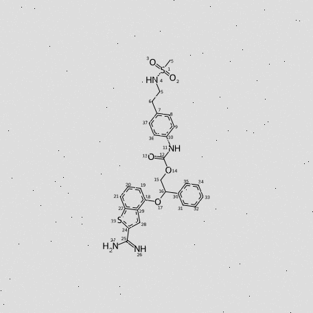 CS(=O)(=O)NCCc1ccc(NC(=O)OCC(Oc2cccc3sc(C(=N)N)cc23)c2ccccc2)cc1